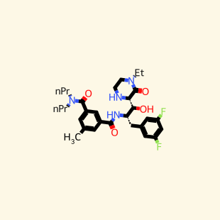 CCCN(CCC)C(=O)c1cc(C)cc(C(=O)N[C@@H](Cc2cc(F)cc(F)c2)C(O)[C@@H]2NCCN(CC)C2=O)c1